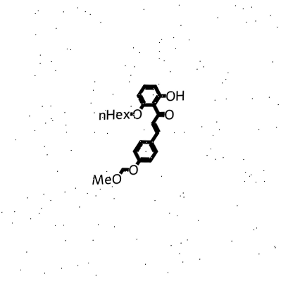 CCCCCCOc1cccc(O)c1C(=O)/C=C/c1ccc(OCOC)cc1